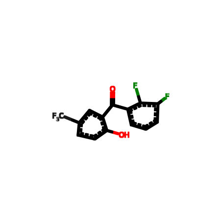 O=C(c1cc(C(F)(F)F)ccc1O)c1cccc(F)c1F